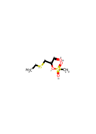 CCSCC([C]=O)OS(C)(=O)=O